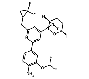 Nc1ncc(-c2cc(N3C[C@@H]4CC[C@H]3CO4)nc(CC3CC3(F)F)n2)cc1OC(F)F